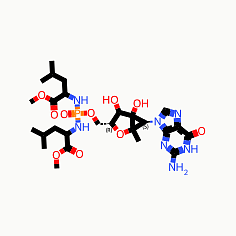 COC(=O)C(CC(C)C)NP(=O)(NC(CC(C)C)C(=O)OC)OC[C@H]1OC2(C)[C@@H](n3cnc4c(=O)[nH]c(N)nc43)C2(O)C1O